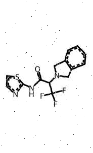 O=C(Nc1nccs1)C(N1Cc2ccccc2C1)C(F)(F)F